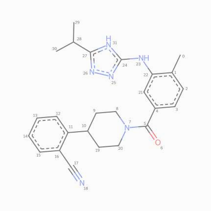 Cc1ccc(C(=O)N2CCC(c3ccccc3C#N)CC2)cc1Nc1nnc(C(C)C)[nH]1